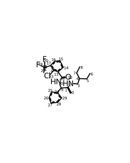 C=C(NCC(CC)CC)C(NC(=O)c1cccc(C(F)(F)F)c1Cl)c1ccccc1